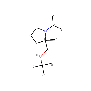 CC(C)N1CCC[C@@]1(C)COC(C)(C)C